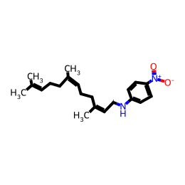 CC(C)=CCCC(C)=CCCC(C)=C[CH]Nc1ccc([N+](=O)[O-])cc1